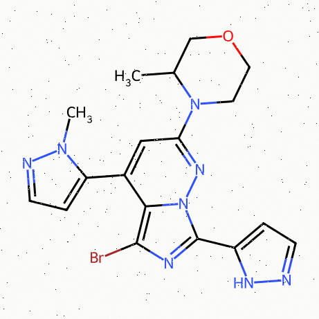 CC1COCCN1c1cc(-c2ccnn2C)c2c(Br)nc(-c3ccn[nH]3)n2n1